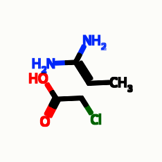 CC=C(N)N.O=C(O)CCl